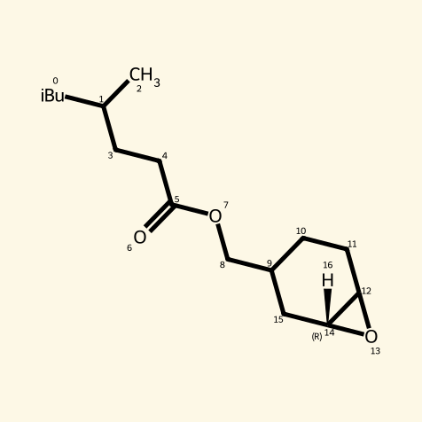 CCC(C)C(C)CCC(=O)OCC1CCC2O[C@@H]2C1